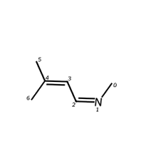 C/N=C\C=C(C)C